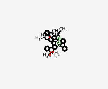 CCCCC1=Cc2c(ccc(CCC)c2-c2ccccc2C(C)C)[CH]1[Zr]([Cl])([Cl])([c]1cccc2c1[SiH2]c1ccccc1-2)[CH]1C(CCCC)=Cc2c1ccc(CCC)c2-c1ccccc1C(C)C